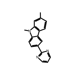 Cc1ccc2c3cc(-c4ncccn4)ccc3n(C)c2c1